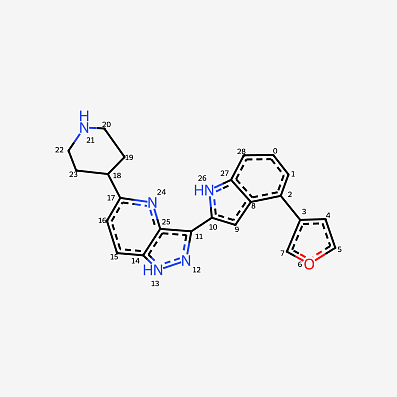 c1cc(-c2ccoc2)c2cc(-c3n[nH]c4ccc(C5CCNCC5)nc34)[nH]c2c1